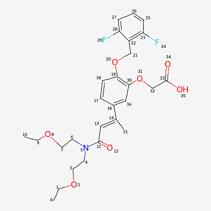 CCOCCN(CCOCC)C(=O)/C=C(\C)c1ccc(OCc2c(F)cccc2F)c(OCC(=O)O)c1